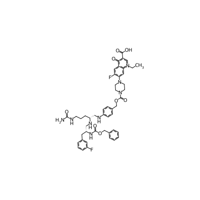 CCn1cc(C(=O)O)c(=O)c2cc(F)c(N3CCN(C(=O)OCc4ccc(NC[C@@H](CCCNC(N)=O)NC[C@@H](Cc5cccc(F)c5)NC(=O)OCc5ccccc5)cc4)CC3)cc21